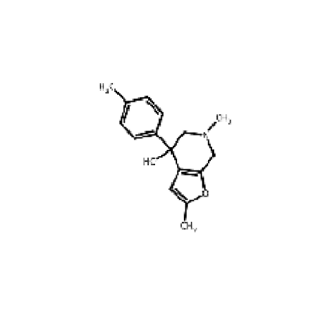 Cc1ccc(C2(O)CN(C)Cc3oc(C)cc32)cc1